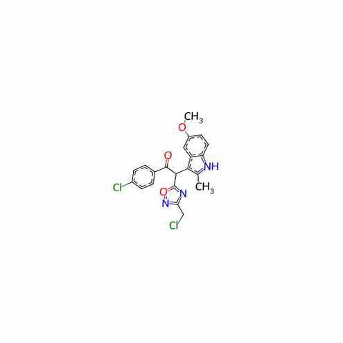 COc1ccc2[nH]c(C)c(C(C(=O)c3ccc(Cl)cc3)c3nc(CCl)no3)c2c1